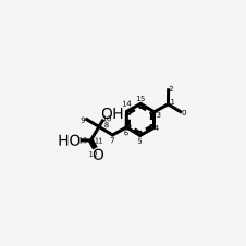 CC(C)c1ccc(CC(C)(O)C(=O)O)cc1